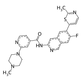 CC1=NC=C=C(c2cc3cc(NC(=O)c4ccnc(N5CCN(C)CC5)c4)ncc3cc2F)S1